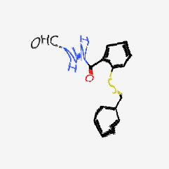 O=CNNC(=O)c1ccccc1SCc1ccccc1